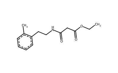 CCOC(=O)CC(=O)NCCc1ccccc1C